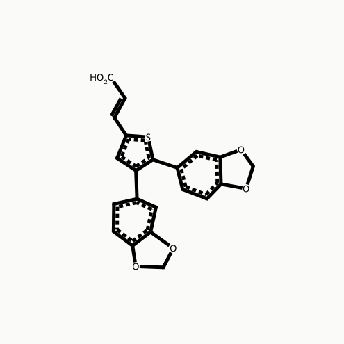 O=C(O)/C=C/c1cc(-c2ccc3c(c2)OCO3)c(-c2ccc3c(c2)OCO3)s1